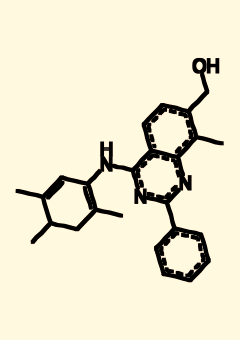 CC1=CC(Nc2nc(-c3ccccc3)nc3c(C)c(CO)ccc23)=C(C)CC1C